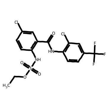 CCOS(=O)(=O)Nc1ccc(Cl)cc1C(=O)Nc1ccc(C(F)(F)F)cc1Cl